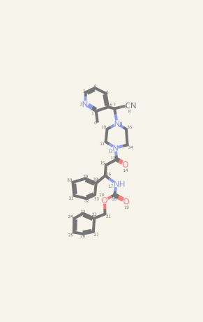 Cc1ncccc1C(C#N)N1CCN(C(=O)CC(NC(=O)OCc2ccccc2)c2ccccc2)CC1